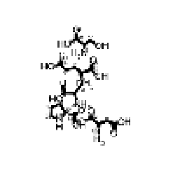 CC(N)C(=O)O.NC(CC(=O)O)C(=O)O.NC(CCC(=O)O)C(=O)O.NC(CO)C(=O)O.O=C(O)[C@@H]1CCCN1